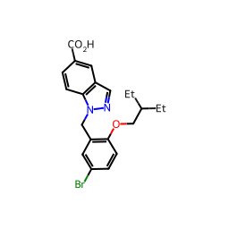 CCC(CC)COc1ccc(Br)cc1Cn1ncc2cc(C(=O)O)ccc21